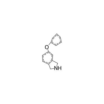 c1ccc(Oc2ccc3c(c2)CNC3)cc1